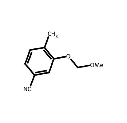 COCOc1cc(C#N)ccc1C